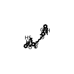 COc1cc2c(cc1OCCCCCOc1cc3c(cc1C)C(=O)N1c4ccccc4C[C@H]1C=N3)N(CC(C)(C)S)C[C@@H]1Cc3ccccc3N1C2=O